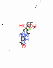 Cc1nc(N[C@H](C)c2cccc(C(O)(CO)C(F)(F)F)c2F)c2cc3c(cc2n1)C(C)(C)C(=O)N3C